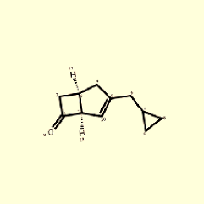 O=C1C[C@H]2CC(CC3CC3)=C[C@@H]12